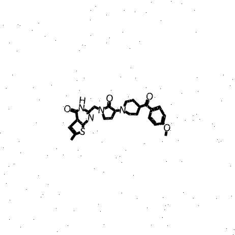 COc1ccc(C(=O)C2CCN(C3CCN(CC4=NC5SC(C)=CC5C(=O)N4)C3=O)CC2)cc1